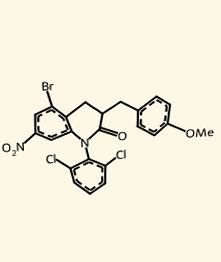 COc1ccc(CC2Cc3c(Br)cc([N+](=O)[O-])cc3N(c3c(Cl)cccc3Cl)C2=O)cc1